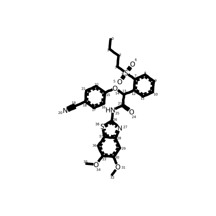 CCCCS(=O)(=O)c1ccccc1C(Oc1ccc(C#N)cc1)C(=O)Nc1nc2cc(OC)c(OC)cc2s1